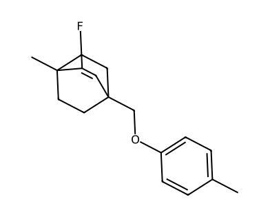 Cc1ccc(OCC23C=C(F)C(C)(CC2)CC3)cc1